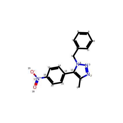 Cc1nnn(Cc2ccccc2)c1-c1ccc([N+](=O)[O-])cc1